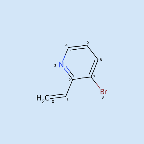 C=Cc1ncccc1Br